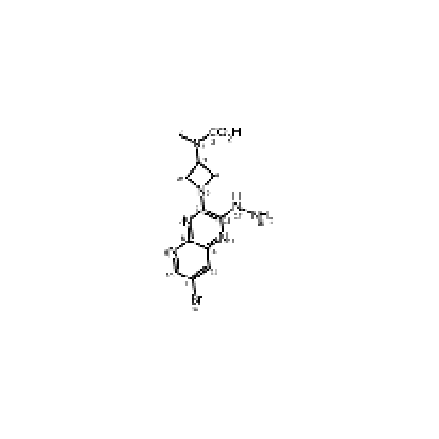 CN(C(=O)O)C1CN(c2nc3ncc(Br)cc3nc2NN)C1